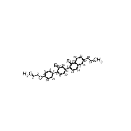 C=CCOc1ccc(-c2ccc(-c3ccc4cc(CCC)ccc4c3F)cc2F)cc1